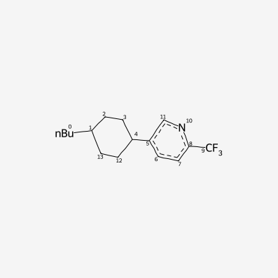 CCCCC1CCC(c2ccc(C(F)(F)F)nc2)CC1